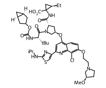 CC[C@@H]1CC1(NC(=O)[C@@H]1C[C@@H](Oc2cc(-c3csc(NC(C)C)n3)nc3c(Cl)c(OCCN4CC[C@@H](OC)C4)ccc23)CN1C(=O)[C@@H](NC(=O)O[C@@H]1C[C@@H]2C[C@@H]2C1)C(C)(C)C)C(=O)O